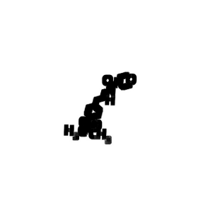 CN(C)S(=O)(=O)c1ccc(CCCNC(=O)N2CCOCC2)cc1